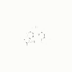 CC(=O)N[C@H]1C(O)O[C@H](CO)[C@H](O[C@H]2O[C@H](CO)[C@H](O)[C@H](O)[C@H]2O)[C@@H]1O